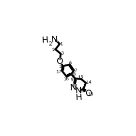 NCCCOc1ccc(C2=NNC(=O)CC2)cc1